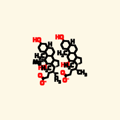 C[C@H](CCC(=O)[O-])[C@H]1CCC2C3CC[C@@H]4C[C@H](O)CC[C@]4(C)C3C[C@H](O)[C@@]21C.C[C@H](CCC(=O)[O-])[C@H]1CCC2C3CC[C@@H]4C[C@H](O)CC[C@]4(C)C3C[C@H](O)[C@@]21C.[Mg+2]